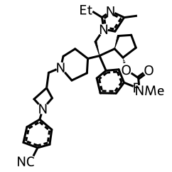 CCc1nc(C)cn1C[C@@](c1cccc(F)c1)(C1CCN(CC2CN(c3ccc(C#N)cc3)C2)CC1)[C@H]1CCC[C@@H]1OC(=O)NC